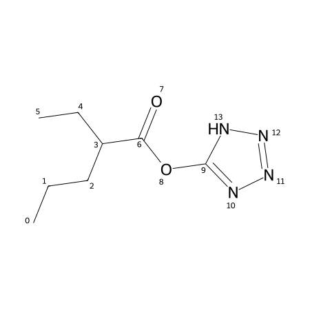 CCCC(CC)C(=O)Oc1nnn[nH]1